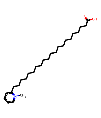 C[n+]1ccccc1CCCCCCCCCCCCCCCCCCCCC(=O)O